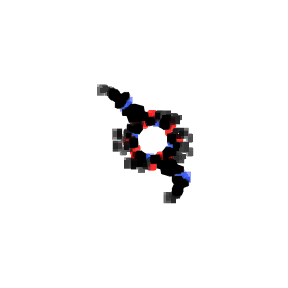 CC(C)C#Cc1cnn(Cc2ccc(C[C@H]3OC(=O)[C@H](CC(C)C)N(C)C(=O)[C@@H](C)OC(=O)[C@H](CC(C)C)N(C)C(=O)[C@@H](Cc4ccc(Cn5cc(C#CC(C)C)cn5)cc4)OC(=O)[C@H](CC(C)C)N(C)C(=O)[C@@H](C)OC(=O)[C@H](CC(C)C)N(C)C3=O)cc2)c1